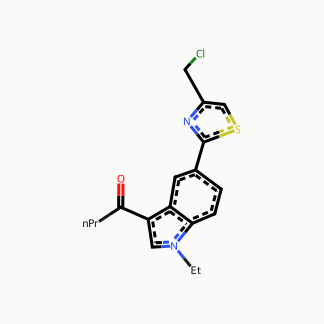 CCCC(=O)c1cn(CC)c2ccc(-c3nc(CCl)cs3)cc12